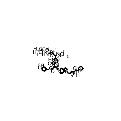 CO/N=C(\C(=O)N[C@@H]1C(=O)N2C(C(=O)OCc3ccc(OC)cc3)=C(C[n+]3ccc4c(ccn4Cc4cc(C(=O)NN5CCCC5)cs4)c3)CS[C@H]12)c1nc(NC(=O)OC(C)(C)C)sc1Cl.[I-]